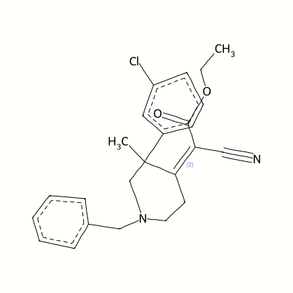 CCOC(=O)/C(C#N)=C1/CCN(Cc2ccccc2)CC1(C)c1cccc(Cl)c1